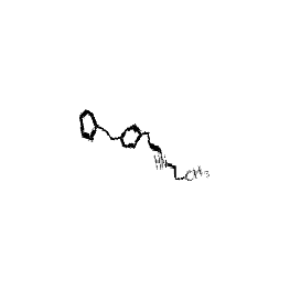 CCCNC=CCc1ccc(CCc2ccccc2)cc1